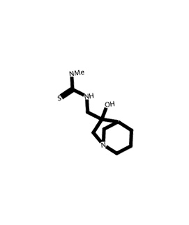 CNC(=S)NCC1(O)CN2CCCC1C2